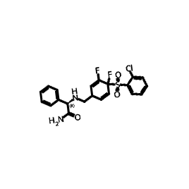 NC(=O)[C@H](NCC1C=CC(F)(S(=O)(=O)c2ccccc2Cl)C(F)=C1)c1ccccc1